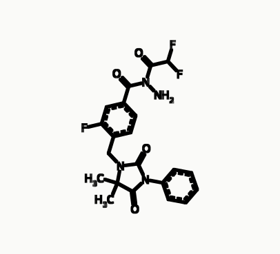 CC1(C)C(=O)N(c2ccccc2)C(=O)N1Cc1ccc(C(=O)N(N)C(=O)C(F)F)cc1F